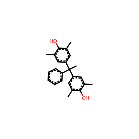 Cc1cc(C(C)(c2ccccc2)c2cc(C)c(O)c(C)c2)cc(C)c1O